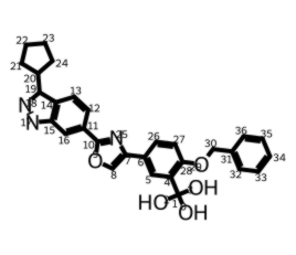 OC(O)(O)c1cc(-c2coc(-c3ccc4c(c3)N=NC4C3CCCC3)n2)ccc1OCc1ccccc1